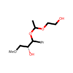 COC[C@@H](O)C(OC(C)OCCO)C(C)C